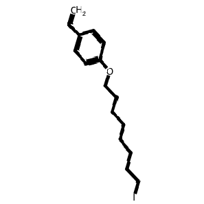 C=Cc1ccc(OCCCCCCCCI)cc1